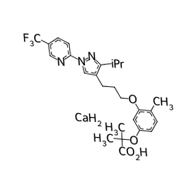 Cc1ccc(OC(C)(C)C(=O)O)cc1OCCCc1cn(-c2ccc(C(F)(F)F)cn2)nc1C(C)C.[CaH2]